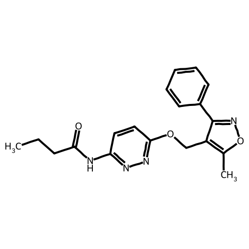 CCCC(=O)Nc1ccc(OCc2c(-c3ccccc3)noc2C)nn1